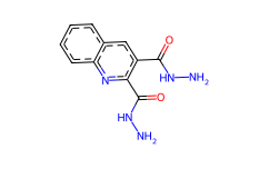 NNC(=O)c1cc2ccccc2nc1C(=O)NN